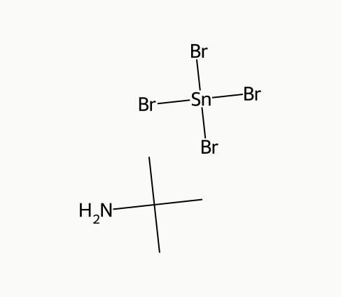 CC(C)(C)N.[Br][Sn]([Br])([Br])[Br]